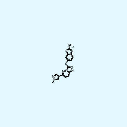 Cn1cc(-c2ccc3nnc(Sc4ccc5nc(N)sc5c4)n3n2)cn1